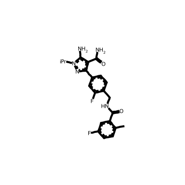 Cc1ccc(F)cc1C(=O)NCc1ccc(-c2nn(C(C)C)c(N)c2C(N)=O)cc1F